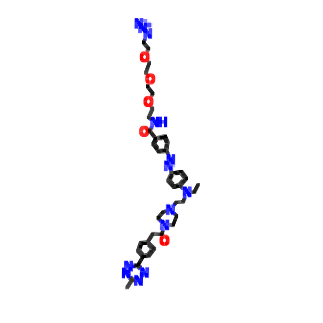 CCN(CCN1CCN(C(=O)Cc2ccc(-c3nnc(C)nn3)cc2)CC1)c1ccc(/N=N/c2ccc(C(=O)NCCOCCOCCOCCN=[N+]=[N-])cc2)cc1